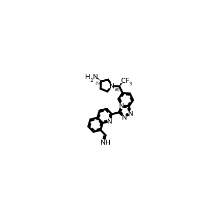 N=Cc1cccc2ccc(-c3nnc4ccc([C@@H](N5CC[C@H](N)C5)C(F)(F)F)cn34)nc12